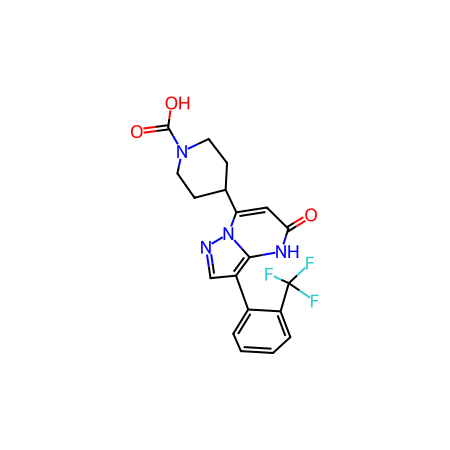 O=C(O)N1CCC(c2cc(=O)[nH]c3c(-c4ccccc4C(F)(F)F)cnn23)CC1